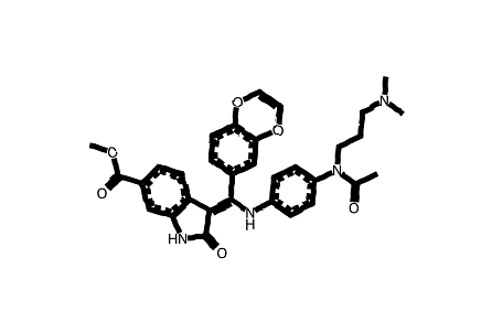 COC(=O)c1ccc2c(c1)NC(=O)/C2=C(\Nc1ccc(N(CCCN(C)C)C(C)=O)cc1)c1ccc2c(c1)OC=CO2